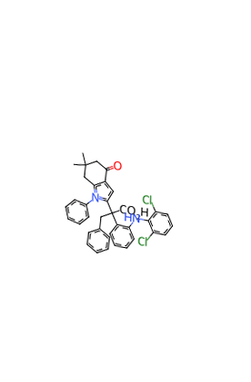 CC1(C)CC(=O)c2cc(C(Cc3ccccc3)(C(=O)O)c3ccccc3Nc3c(Cl)cccc3Cl)n(-c3ccccc3)c2C1